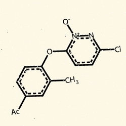 CC(=O)c1ccc(Oc2ccc(Cl)n[n+]2[O-])c(C)c1